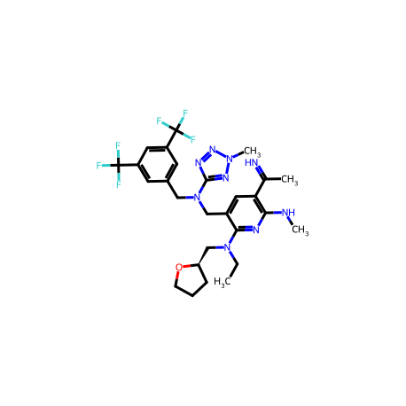 CCN(C[C@H]1CCCO1)c1nc(NC)c(C(C)=N)cc1CN(Cc1cc(C(F)(F)F)cc(C(F)(F)F)c1)c1nnn(C)n1